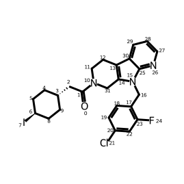 O=C(C[C@H]1CC[C@H](I)CC1)N1CCc2c(n(Cc3ccc(Cl)cc3F)c3ncccc23)C1